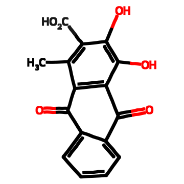 Cc1c(C(=O)O)c(O)c(O)c2c1C(=O)c1ccccc1C2=O